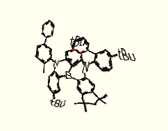 Cc1ccc(-c2ccccc2)cc1N1c2ccc(C(C)(C)C)cc2B2c3cc4c(cc3N(c3ccc(C(C)(C)C)cc3-c3ccccc3)c3cc(C(C)(C)C)cc1c32)C(C)(C)CC4(C)C